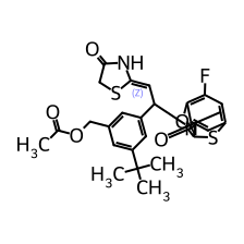 CC(=O)OCc1cc(C(/C=C2/NC(=O)CS2)N2C(=O)C3Oc4c(F)cc(cc42)S3)cc(C(C)(C)C)c1